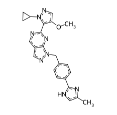 COc1cnn(C2CC2)c1-c1ncc2cnn(Cc3ccc(-c4nc(C)c[nH]4)cc3)c2n1